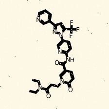 CCN(CC)C(=O)CCn1cc(C(=O)Nc2ccc(-n3nc(-c4cccnc4)cc3C(F)(F)F)cn2)ccc1=O